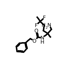 CC(F)(F)CCC(C)(CN)NC(=O)OCc1ccccc1